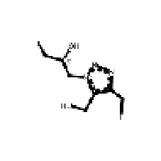 OCc1c(CI)nnn1C[C@H](O)CI